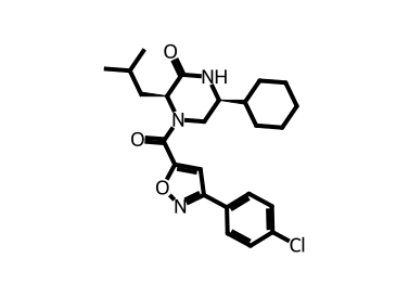 CC(C)C[C@H]1C(=O)N[C@@H](C2CCCCC2)CN1C(=O)c1cc(-c2ccc(Cl)cc2)no1